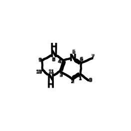 Cc1cc2c(nc1C)NCCN2